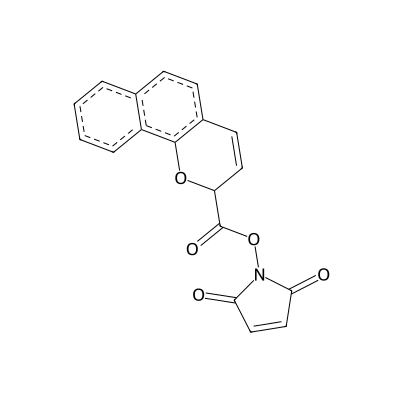 O=C(ON1C(=O)C=CC1=O)C1C=Cc2ccc3ccccc3c2O1